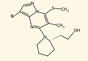 CSc1c(C)c(N2CCCC[C@H]2CCO)nc2c(Br)cnn12